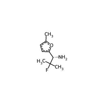 Cc1ccc([C@H](N)C(C)(C)F)o1